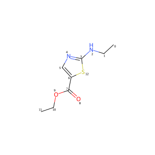 CCNc1ncc(C(=O)OCC)s1